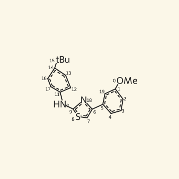 COc1cccc(-c2csc(Nc3ccc(C(C)(C)C)cc3)n2)c1